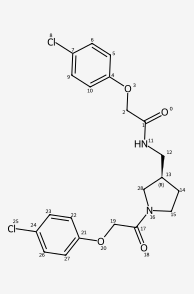 O=C(COc1ccc(Cl)cc1)NC[C@H]1CCN(C(=O)COc2ccc(Cl)cc2)C1